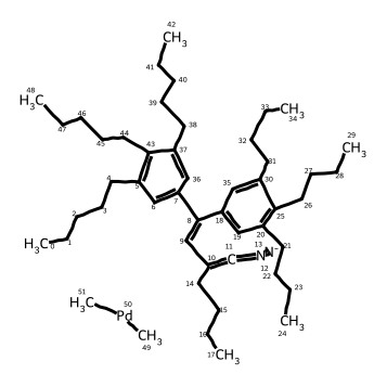 CCCCCc1cc(C(=CC(=C=[N+]=[N-])CCCC)c2cc(CCCC)c(CCCC)c(CCCC)c2)cc(CCCCC)c1CCCCC.[CH3][Pd][CH3]